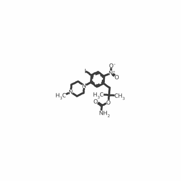 CN1CCN(c2cc(CC(C)(C)OC(N)=O)c([N+](=O)[O-])cc2I)CC1